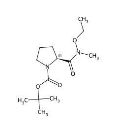 CCON(C)C(=O)[C@@H]1CCCN1C(=O)OC(C)(C)C